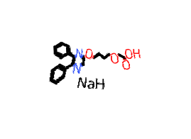 O=C(O)COCCCCOc1cnc(-c2ccccc2)c(-c2ccccc2)n1.[NaH]